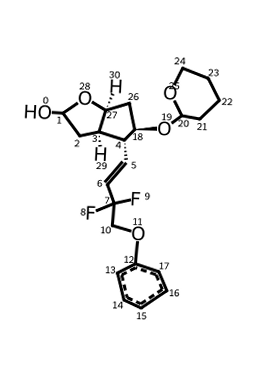 OC1C[C@@H]2[C@@H](C=CC(F)(F)COc3ccccc3)[C@H](OC3CCCCO3)C[C@@H]2O1